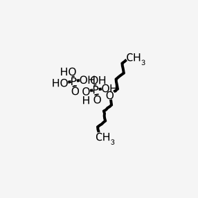 CCCCCOCCCCC.O=P(O)(O)O.O=P(O)(O)O